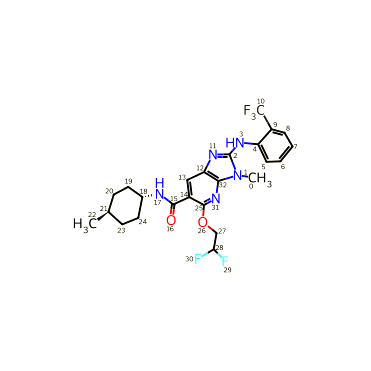 Cn1c(Nc2ccccc2C(F)(F)F)nc2cc(C(=O)N[C@H]3CC[C@H](C)CC3)c(OCC(F)F)nc21